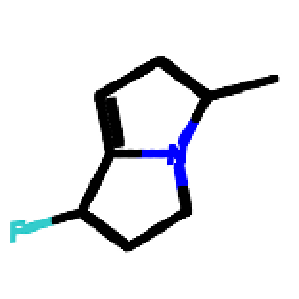 CC1CC=C2C(F)CCN21